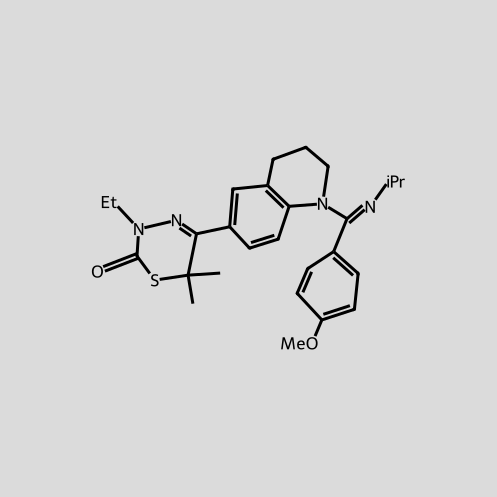 CCN1N=C(c2ccc3c(c2)CCCN3/C(=N\C(C)C)c2ccc(OC)cc2)C(C)(C)SC1=O